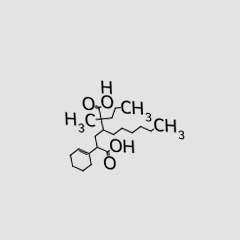 CCCCCCC(CC(C(=O)O)C1=CCCCC1)C(C)(CCC)C(=O)O